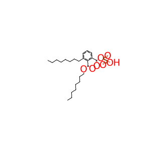 CCCCCCCCOC(=O)c1c(CCCCCCCC)cccc1C(=O)OS(=O)(=O)O